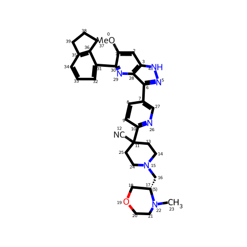 COc1cc2[nH]nc(-c3ccc(C4(C#N)CCN(C[C@H]5COCCN5C)CC4)nc3)c2nc1-c1cccc2c1CCC2